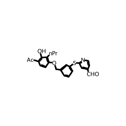 CCCc1c(OCc2cccc(Sc3cc(C=O)ccn3)c2)ccc(C(C)=O)c1O